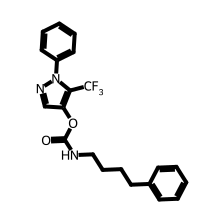 O=C(NCCCCc1ccccc1)Oc1cnn(-c2ccccc2)c1C(F)(F)F